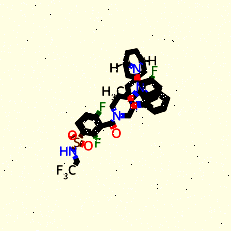 Cc1nc2ccccc2n1[C@H]1C[C@H]2CC[C@@H](C1)N2CCC1(c2cccc(F)c2)CCN(C(=O)c2c(F)ccc(S(=O)(=O)NCC(F)(F)F)c2F)CC1